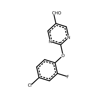 O=Cc1cnc(Oc2ccc(Cl)cc2F)nc1